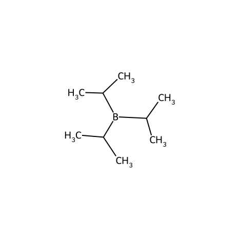 CC(C)B(C(C)C)C(C)C